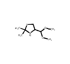 COC(OC)C1CSC(C)(C)N1